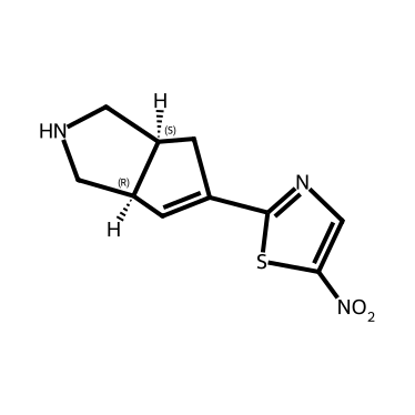 O=[N+]([O-])c1cnc(C2=C[C@H]3CNC[C@H]3C2)s1